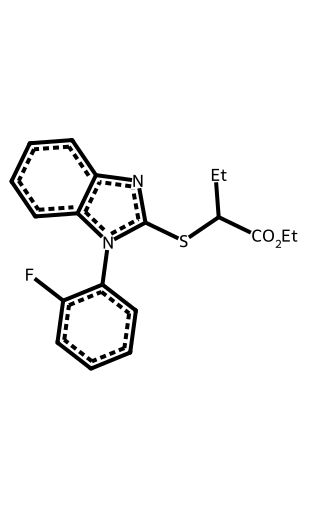 CCOC(=O)C(CC)Sc1nc2ccccc2n1-c1ccccc1F